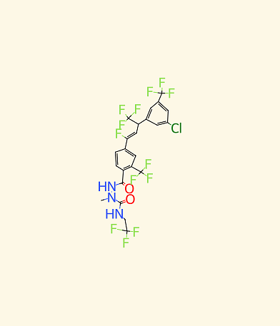 CN(NC(=O)c1ccc(C(F)=CC(c2cc(Cl)cc(C(F)(F)F)c2)C(F)(F)F)cc1C(F)(F)F)C(=O)NCC(F)(F)F